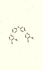 N#Cc1ccc(Oc2ccc(C(=O)c3ccc(Oc4ccc(C#N)c(C#N)c4)cc3)cc2)cc1C#N